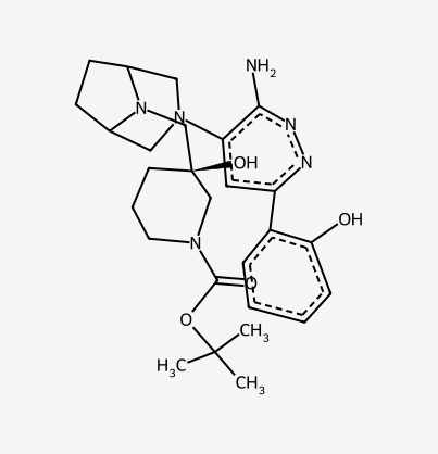 CC(C)(C)OC(=O)N1CCC[C@](O)(CN2C3CCC2CN(c2cc(-c4ccccc4O)nnc2N)C3)C1